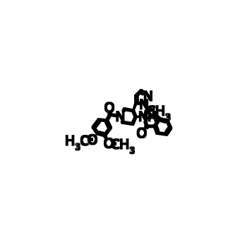 COc1ccc(C(=O)N2CC[C@@H](NC(=O)c3ccccc3Cl)[C@H](c3ccnn3C)C2)cc1OC